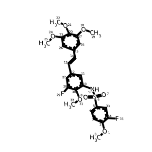 COc1ccc(S(=O)(=O)Nc2cc(C=Cc3cc(OC)c(OC)c(OC)c3)cc(F)c2OC)cc1F